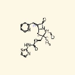 CC1(COC(=O)Nc2nccs2)SC2/C(=C\c3ccccn3)C(=O)N2[C@H]1C=O